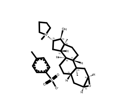 C[C@]12C[C@H]3O[C@H]3C[C@@H]1CC[C@@H]1[C@@H]2CC[C@]2(C)[C@H](O)[C@@H]([N+]3(C)CCCC3)C[C@@H]12.Cc1ccc(S(=O)(=O)[O-])cc1